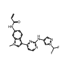 C=CC(=O)Nc1ccc2c(-c3ccnc(Nc4cnn(C(F)F)c4)n3)cn(C)c2c1